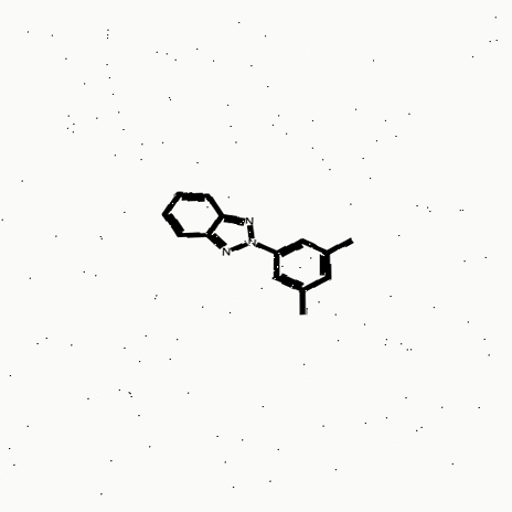 Cc1cc(C)cc(-n2nc3ccccc3n2)c1